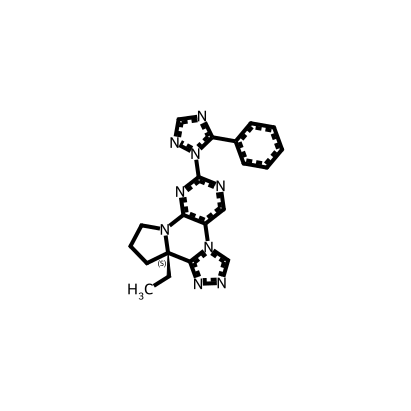 CC[C@@]12CCCN1c1nc(-n3ncnc3-c3ccccc3)ncc1-n1cnnc12